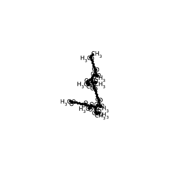 CCCC(C)OCCCCCCOC(=O)CCC(C(C)=O)C(=O)OCC(COC(=O)C(C)C(C)=O)OC(=O)C(CCC(=O)OCCCCCCOC(=O)CCC(C(C)=O)C(=O)OC(COC(=O)C(C)C(C)=O)COC(=O)C(CCC(=O)OCCCCCCOC(=O)CC)C(C)=O)C(C)=O